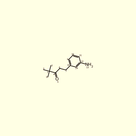 CC(C)(C)C(=O)CCc1cccc(N)c1